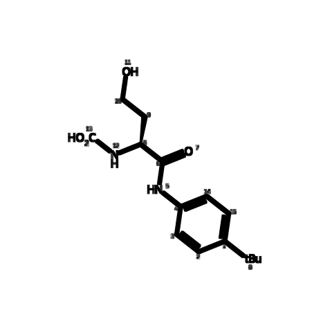 CC(C)(C)c1ccc(NC(=O)[C@H](CCO)NC(=O)O)cc1